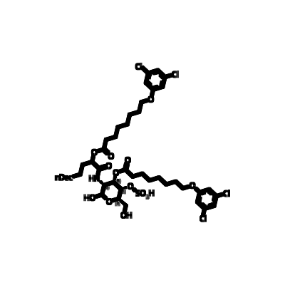 CCCCCCCCCCCCC(OC(=O)CCCCCCCOc1cc(Cl)cc(Cl)c1)C(=O)N[C@H]1C(O)O[C@H](CO)[C@@H](OS(=O)(=O)O)[C@@H]1OC(=O)CCCCCCCOc1cc(Cl)cc(Cl)c1